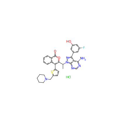 CC(c1oc(=O)c2ccccc2c1-c1ccc(CN2CCCCC2)s1)n1nc(-c2cc(O)cc(F)c2)c2c(N)ncnc21.Cl